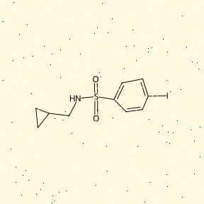 O=S(=O)(NCC1CC1)c1ccc(I)cc1